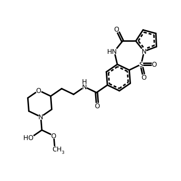 COC(O)N1CCOC(CCNC(=O)c2ccc3c(c2)NC(=O)c2cccn2S3(=O)=O)C1